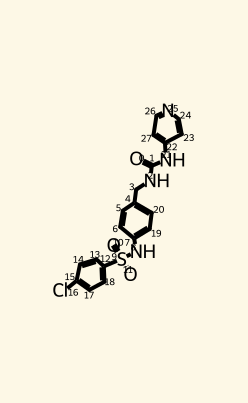 O=C(NCc1ccc(NS(=O)(=O)c2ccc(Cl)cc2)cc1)Nc1ccncc1